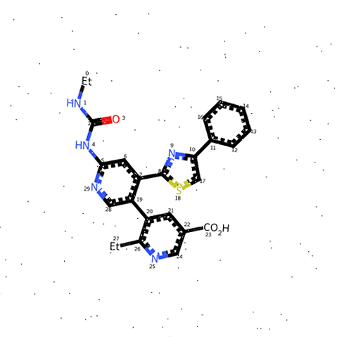 CCNC(=O)Nc1cc(-c2nc(-c3ccccc3)cs2)c(-c2cc(C(=O)O)cnc2CC)cn1